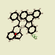 C1=CC[C]([Zr+2](=[C](Cc2ccccc2)Cc2ccccc2)[CH]2c3ccccc3-c3c2c2ccccc2c2ccccc32)=C1.[Cl-].[Cl-]